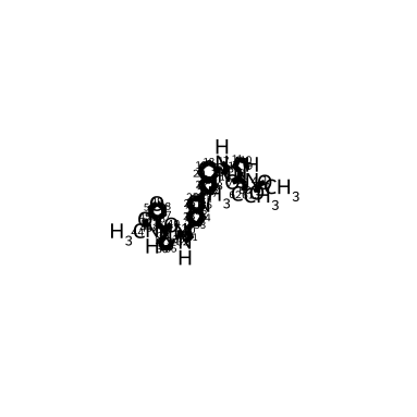 COC(=O)NC(C(=O)N1CCC[C@H]1c1nc2c([nH]1)CCCc1cc(-c3ccc4cc(-c5c[nH]c([C@@H]6CCCN6C(=O)[C@@H](NC(C)=O)C6CCOCC6)n5)ccc4n3)ccc1-2)C(C)C